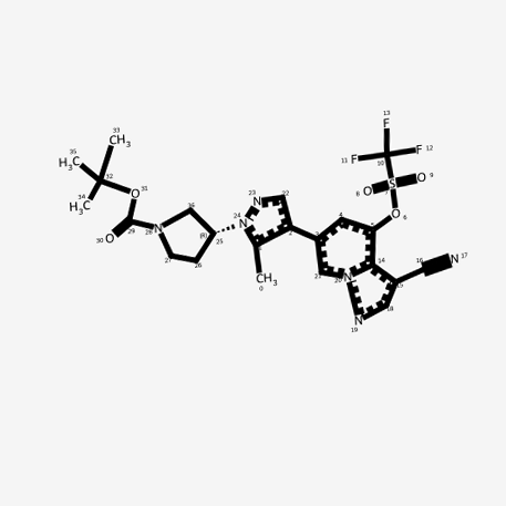 Cc1c(-c2cc(OS(=O)(=O)C(F)(F)F)c3c(C#N)cnn3c2)cnn1[C@@H]1CCN(C(=O)OC(C)(C)C)C1